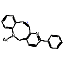 CC(=O)N1Cc2ccc(-c3ccccc3)nc2/C=C\c2ccccc21